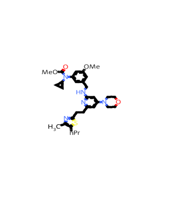 CCCc1sc(CCc2cc(N3CCOCC3)cc(NCc3cc(OC)cc(N(C(=O)OC)C4CC4)c3)n2)nc1C